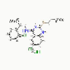 COCCSc1nc(NCC(OC)c2ccccc2Cl)c2cc(Cl)ccc2n1.Cl